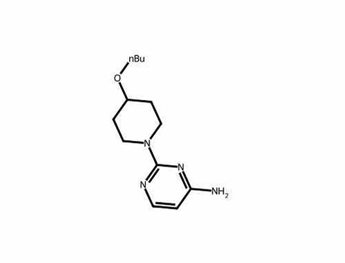 CCCCOC1CCN(c2nccc(N)n2)CC1